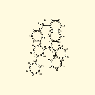 CC1(C)c2ccccc2-c2c3c1cccc3cc1c3ccc4ccccc4c3n(-c3cccc(-c4ccccc4)c3)c21